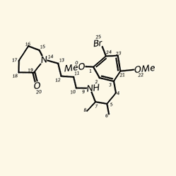 COc1cc(CC(C)C(C)NCCCCN2CCCCC2=O)c(OC)cc1Br